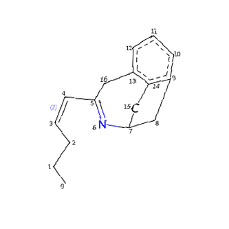 CCC/C=C\C1=NC2Cc3cccc(c3C2)C1